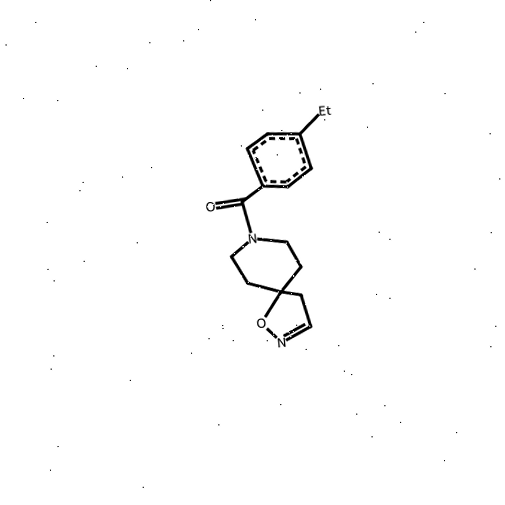 CCc1ccc(C(=O)N2CCC3(CC=NO3)CC2)cc1